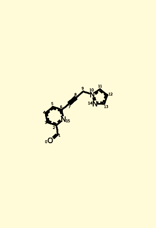 O=Cc1cccc(C#CCn2cccn2)n1